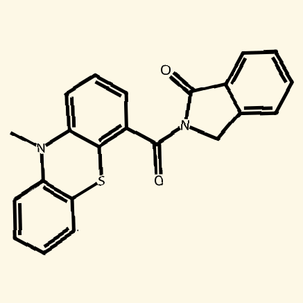 CN1c2ccc[c]c2Sc2c(C(=O)N3Cc4ccccc4C3=O)cccc21